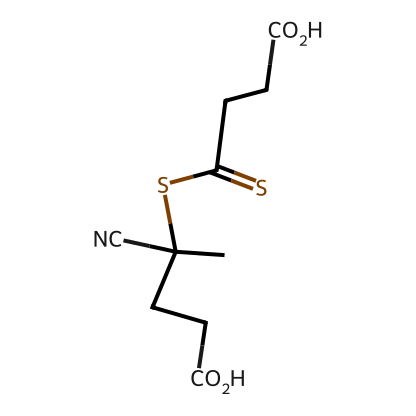 CC(C#N)(CCC(=O)O)SC(=S)CCC(=O)O